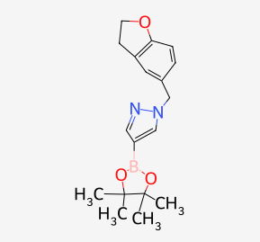 CC1(C)OB(c2cnn(Cc3ccc4c(c3)CCO4)c2)OC1(C)C